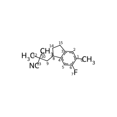 Cc1cc2c(cc1F)C(CC(C)(C)C#N)CC2